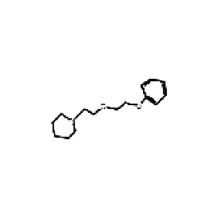 c1ccc(OCCOCCN2CCCCC2)cc1